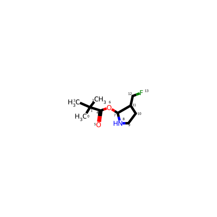 CC(C)(C)C(=O)OC1NCCC1CF